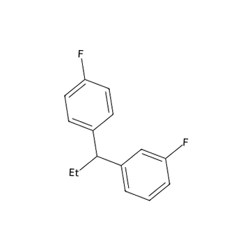 CCC(c1ccc(F)cc1)c1cccc(F)c1